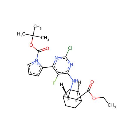 CCOC(=O)[C@H]1C2CCC(CC2)[C@@H]1Nc1nc(Cl)nc(-c2cccn2C(=O)OC(C)(C)C)c1F